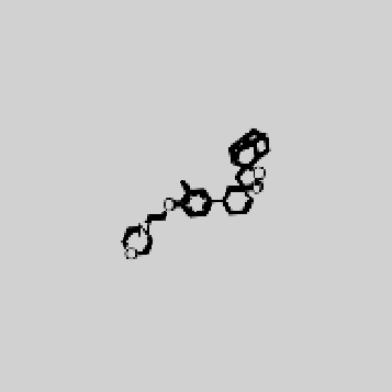 Cc1cc([C@@H]2CCC[C@@]3(C2)CC2(OO3)C3CC4CC(C3)CC2C4)ccc1OCCN1CCOCC1